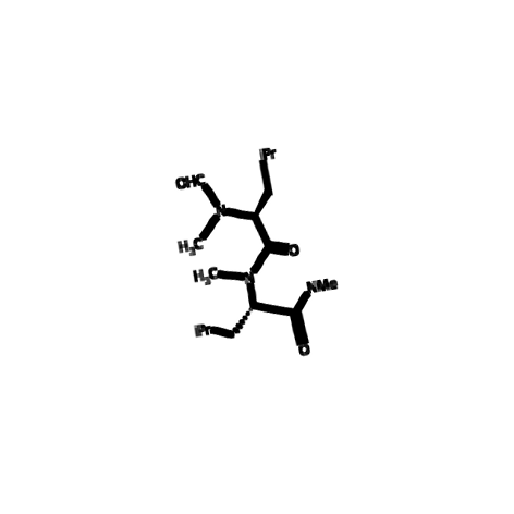 CNC(=O)[C@H](CC(C)C)N(C)C(=O)[C@H](CC(C)C)N(C)C=O